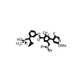 COc1cc(-c2cc(C)c(C(=O)Oc3cccc(C(CP(C)(=O)O)C4CC4)c3)cc2CN(C(C)C)C(C)C)c(F)cn1